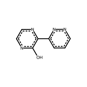 Oc1nccnc1-c1cccnn1